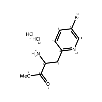 COC(=O)C(N)Cc1ccc(Br)cn1.Cl.Cl